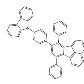 c1ccc(-c2cc(-c3ccc(-n4c5ccccc5c5ccccc54)cc3)c(-c3ccccc3)c3c2-c2cccc4cccc-3c24)cc1